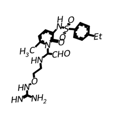 CCc1ccc(S(=O)(=O)Nc2ccc(C)n(C(C=O)NCCONC(=N)N)c2=O)cc1